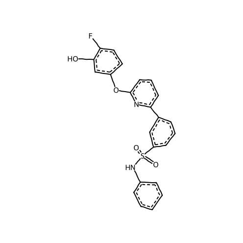 O=S(=O)(Nc1ccccc1)c1cccc(-c2cccc(Oc3ccc(F)c(O)c3)n2)c1